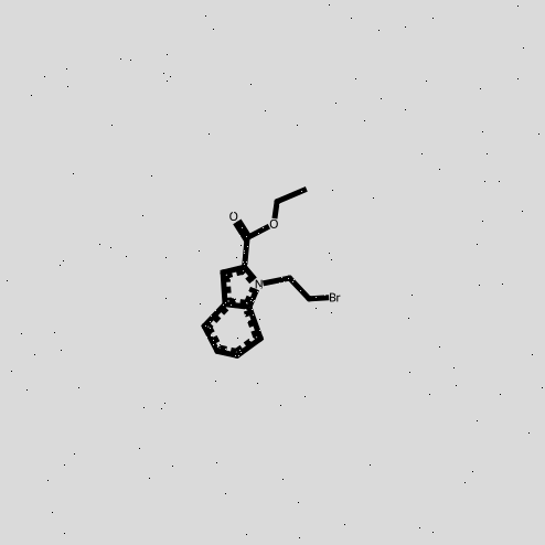 CCOC(=O)c1cc2ccccc2n1CCBr